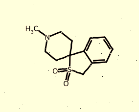 CN1CCC2(CC1)c1ccccc1CS2(=O)=O